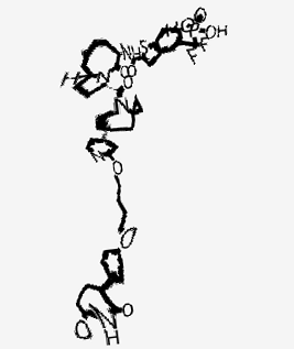 O=C1CCC(c2ccc(OCCCCCOc3cc([C@@H]4CN(C(=O)[C@@H]5CC[C@@H]6CCCC[C@H](NC(=O)c7cc8cc(C(F)(F)P(=O)(O)O)ccc8s7)C(=O)N65)C5(CC5)C4)ccn3)cc2)C(=O)N1